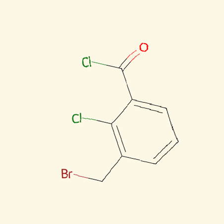 O=C(Cl)c1cccc(CBr)c1Cl